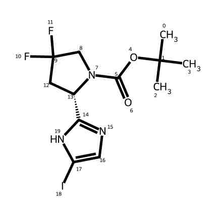 CC(C)(C)OC(=O)N1CC(F)(F)C[C@H]1c1ncc(I)[nH]1